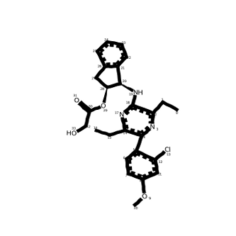 CCc1nc(-c2ccc(OC)cc2Cl)c(CC)nc1N[C@@H]1c2ccccc2C[C@@H]1OC(=O)CO